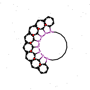 c1ccc(P2CCCCCCCCCP(c3ccccc3)P(c3ccccc3)P(c3ccccc3)P(c3ccccc3)P(c3ccccc3)P(c3ccccc3)P2c2ccccc2)cc1